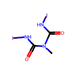 CN(C(=O)NI)C(=O)NI